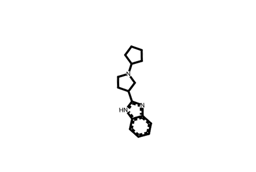 c1ccc2[nH]c(C3CCN(C4CCCC4)C3)nc2c1